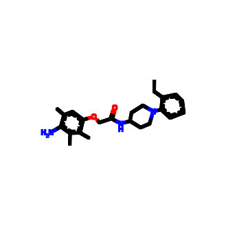 CCc1ccccc1N1CCC(NC(=O)COc2cc(C)c(N)c(C)c2C)CC1